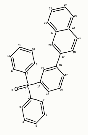 O=P(c1ccccc1)(c1ccccc1)c1cccc(-c2ccc3ccccc3c2)c1